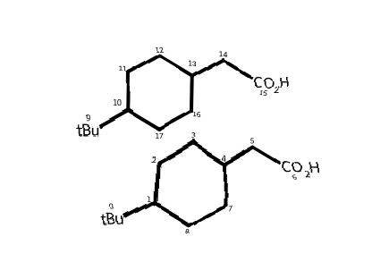 CC(C)(C)C1CCC(CC(=O)O)CC1.CC(C)(C)C1CCC(CC(=O)O)CC1